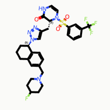 O=C1NC=CN(S(=O)(=O)c2cccc(C(F)(F)F)c2)[C@@H]1Cc1cn([C@@H]2CCCc3cc(CN4CCC(F)CC4)ccc32)nn1